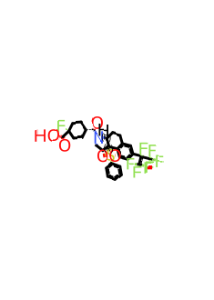 O=C([C@H]1CC[C@](F)(C(=O)O)CC1)N1CC[C@@]2(S(=O)(=O)c3ccccc3)c3ccc(C(F)(C(F)(F)F)C(F)(F)F)cc3CC[C@@H]12